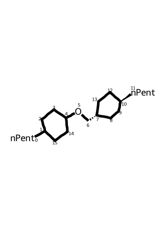 CCCCCC1CCC(OC[C@H]2CC[C@H](CCCCC)CC2)CC1